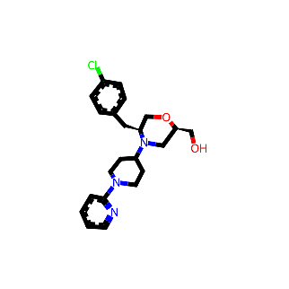 OC[C@H]1CN(C2CCN(c3ccccn3)CC2)[C@@H](Cc2ccc(Cl)cc2)CO1